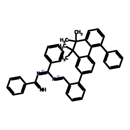 CC1(C)c2cc(-c3ccccc3/C=N/C(=N\C(=N)c3ccccc3)c3ccccc3)ccc2-c2c(-c3ccccc3)cccc2C1(C)C